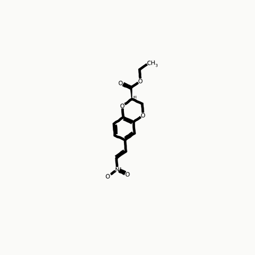 CCOC(=O)[C@H]1COc2cc(C=C[N+](=O)[O-])ccc2O1